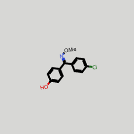 CON=C(c1ccc(O)cc1)c1ccc(Cl)cc1